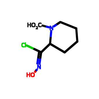 O=C(O)N1CCCCC1/C(Cl)=N/O